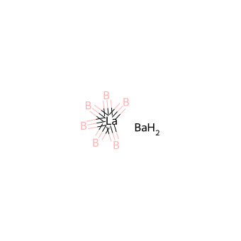 [B]#[La](#[B])(#[B])(#[B])(#[B])#[B].[BaH2]